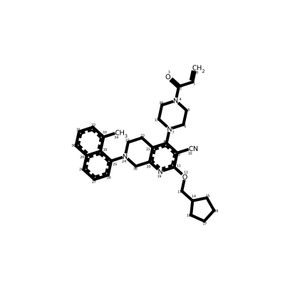 C=CC(=O)N1CCN(c2c(C#N)c(OCC3CCCC3)nc3c2CCN(c2cccc4cccc(C)c24)C3)CC1